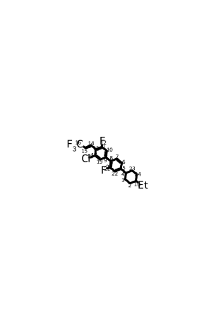 CCC1CCC(c2ccc(-c3cc(F)c(/C=C/C(F)(F)F)c(Cl)c3)c(F)c2)CC1